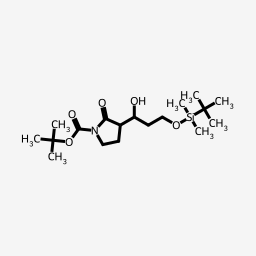 CC(C)(C)OC(=O)N1CCC(C(O)CCO[Si](C)(C)C(C)(C)C)C1=O